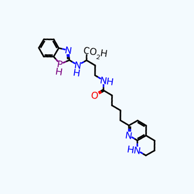 O=C(CCCCc1ccc2c(n1)NCCC2)NCCC(Nc1nc2ccccc2[pH]1)C(=O)O